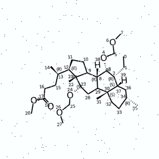 CC[C@H]1[C@@H](OCOC)[C@H]2C3CC[C@H]([C@H](C)CCC(=O)OC)[C@@]3(C)[C@@H](OCOC)CC2[C@@]2(C)CC[C@@H](C)C[C@@H]12